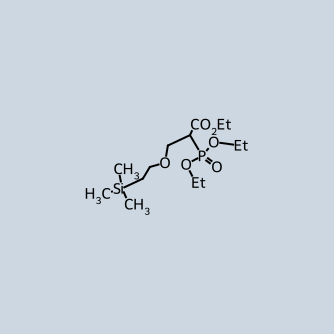 CCOC(=O)C(COCC[Si](C)(C)C)P(=O)(OCC)OCC